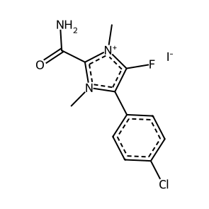 Cn1c(-c2ccc(Cl)cc2)c(F)[n+](C)c1C(N)=O.[I-]